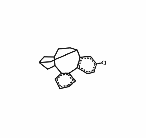 Clc1ccc2c(c1)C1CCC3CC(C1)CC3c1ccccc1-2